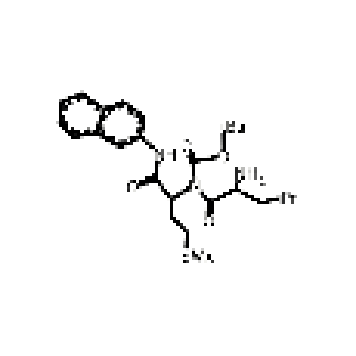 CSCC[C@@H](C(=O)Nc1ccc2ccccc2c1)N(C(=O)OC(C)(C)C)C(=O)[C@@H](N)CC(C)C